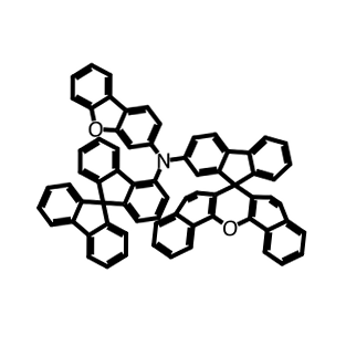 c1ccc2c(c1)-c1ccccc1C21c2ccccc2-c2c(N(c3ccc4c(c3)C3(c5ccccc5-4)c4ccc5ccccc5c4Oc4c3ccc3ccccc43)c3ccc4c(c3)oc3ccccc34)cccc21